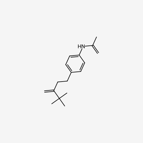 C=C(C)Nc1ccc(CCC(=C)C(C)(C)C)cc1